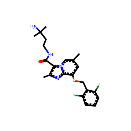 Cc1cc(OCc2c(F)cccc2F)c2nc(C)c(C(=O)NCCC(C)(C)N)n2c1